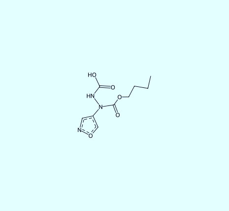 CCCCOC(=O)N(NC(=O)O)c1cnoc1